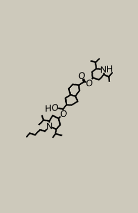 CCCCCN1C(C(C)C)CC(OC(O)C2CCC3CC(C(=O)OC4CC(C(C)C)NC(C(C)C)C4)CCC3C2)CC1C(C)C